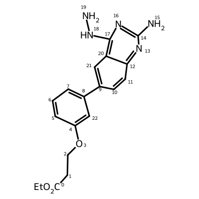 CCOC(=O)CCOc1cccc(-c2ccc3nc(N)nc(NN)c3c2)c1